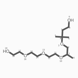 CC(COC(C)(C)CCO)OCCOCCOCCO